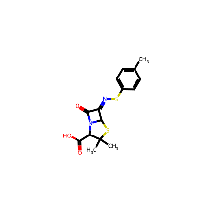 Cc1ccc(SN=C2C(=O)N3C2SC(C)(C)C3C(=O)O)cc1